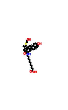 C=C(CSCCO)[C@@H]1CC[C@]2(C(=O)NCCCCCCCCCCC(=O)O)CC[C@]3(C)[C@H](CCC4[C@@]5(C)CC[C@H](O)C(C)(C)[C@@H]5CC[C@]43C)[C@@H]12